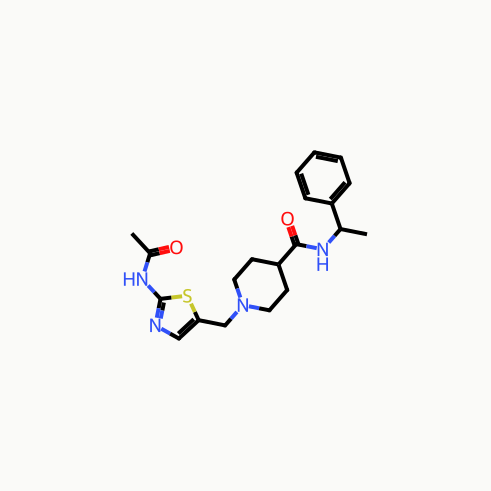 CC(=O)Nc1ncc(CN2CCC(C(=O)NC(C)c3ccccc3)CC2)s1